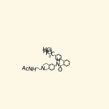 CC(=O)NCCN1CCc2cc(NC(=O)c3ccccc3-c3ccc(C(F)(F)F)cc3)ccc2C1.Cl.Cl